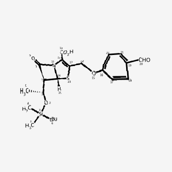 C[C@@H](O[Si](C)(C)C(C)(C)C)[C@H]1C(=O)N2C(C(=O)O)=C(COc3ccc(C=O)cc3)S[C@H]12